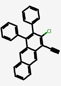 C#Cc1c(Cl)c(-c2ccccc2)c(-c2ccccc2)c2cc3ccccc3cc12